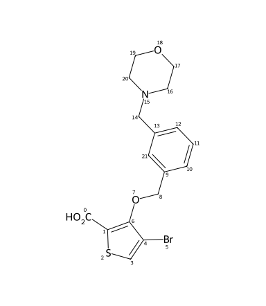 O=C(O)c1scc(Br)c1OCc1cccc(CN2CCOCC2)c1